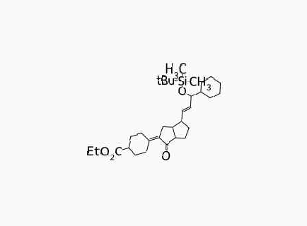 CCOC(=O)C1CCC(=C2CC3C(C=CC(O[Si](C)(C)C(C)(C)C)C4CCCCC4)CCC3C2=O)CC1